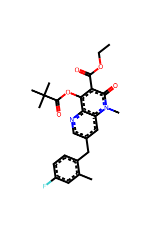 CCOC(=O)c1c(OC(=O)C(C)(C)C)c2ncc(Cc3ccc(F)cc3C)cc2n(C)c1=O